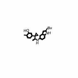 C=C(Nc1ccc2[nH]c(C(C)CC)cc2c1)C1(c2ccc(C)c(O)c2)CC1